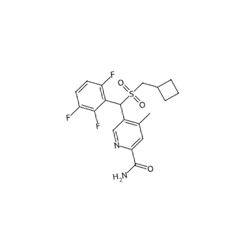 Cc1cc(C(N)=O)ncc1C(c1c(F)ccc(F)c1F)S(=O)(=O)CC1CCC1